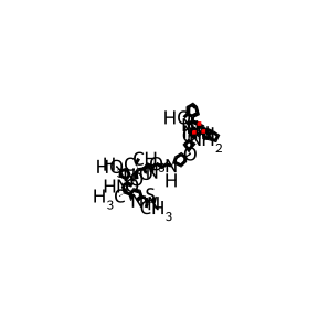 Cc1ncsc1-c1ccc([C@H](C)NC(=O)[C@@H]2C[C@@H](O)CN2C(=O)[C@@H](c2cc(OCCN[C@H]3CC[C@H](O[C@H]4C[C@H](Oc5cc(N6C7CCC6CN(c6cc(-c8ccccc8O)nnc6N)C7)ccn5)C4)CC3)no2)C(C)C)cn1